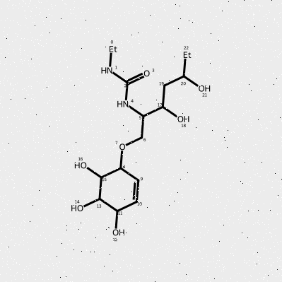 CCNC(=O)NC(COC1C=CC(O)C(O)C1O)C(O)CC(O)CC